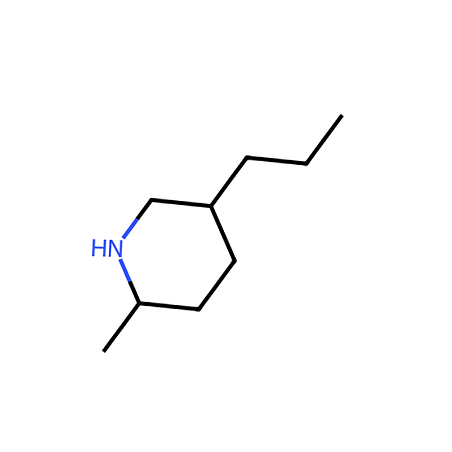 CCCC1CCC(C)NC1